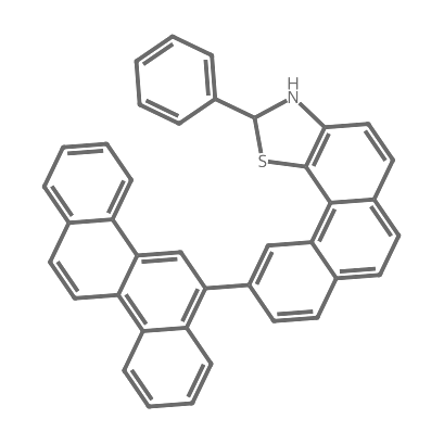 c1ccc(C2Nc3ccc4ccc5ccc(-c6cc7c8ccccc8ccc7c7ccccc67)cc5c4c3S2)cc1